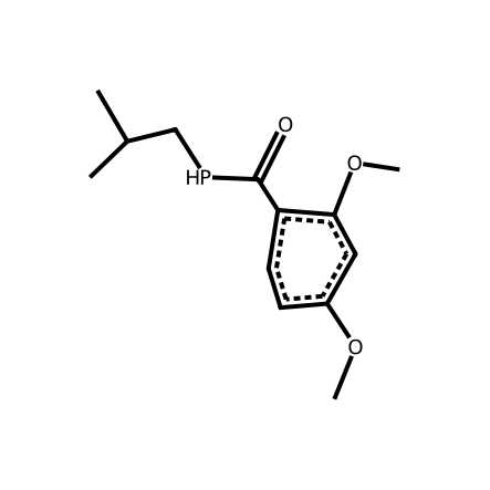 COc1ccc(C(=O)PCC(C)C)c(OC)c1